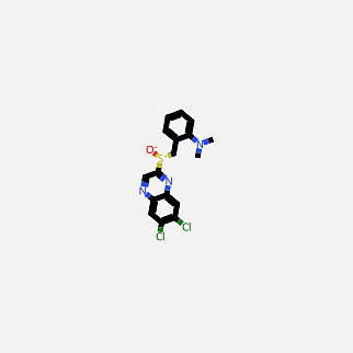 CN(C)c1ccccc1C[S+]([O-])c1cnc2cc(Cl)c(Cl)cc2n1